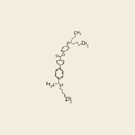 CCCCCCOC(C)c1ccc(-c2ccc(C(=O)Oc3ccc(OC(CCC)CCCC)cc3)cc2)cc1